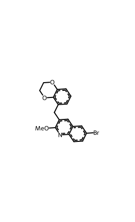 COc1nc2ccc(Br)cc2cc1Cc1cccc2c1OCCO2